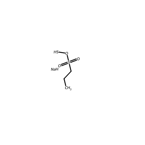 CCCS(=O)(=O)OS.[NaH]